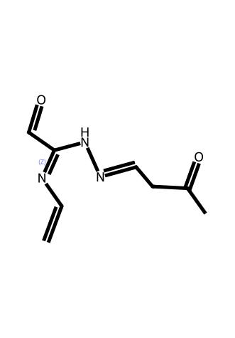 C=C/N=C(/C=O)NN=CCC(C)=O